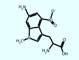 Cn1cc(CC(N)C(=O)O)c2c([N+](=O)[O-])cc(N)cc21